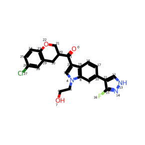 O=C(c1cn(CCO)c2cc(-c3c[nH]nc3F)ccc12)C1COc2ccc(Cl)cc2C1